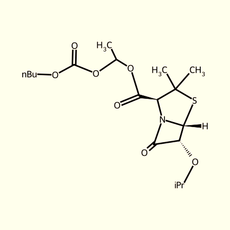 CCCCOC(=O)OC(C)OC(=O)[C@@H]1N2C(=O)[C@@H](OC(C)C)[C@H]2SC1(C)C